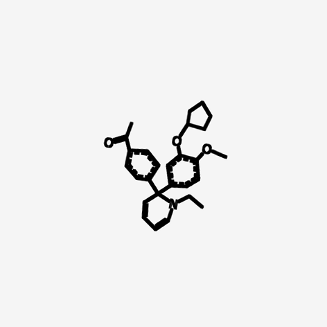 CCN1C=CC=CC1(c1ccc(C(C)=O)cc1)c1ccc(OC)c(OC2CCCC2)c1